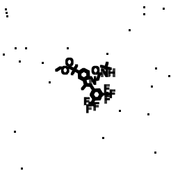 CCOC(=O)C(C)(C)c1ccc2c(c1)c(C)c(-c1cc(C(F)(F)F)cc(C(F)(F)F)c1)n2CC(=O)NC(C)(C)C